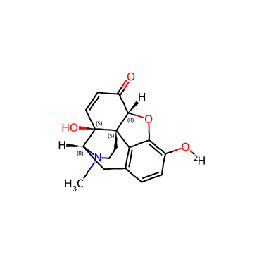 [2H]Oc1ccc2c3c1O[C@H]1C(=O)C=C[C@@]4(O)[C@@H](C2)N(C)CC[C@]314